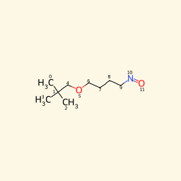 CC(C)(C)COCCCCN=O